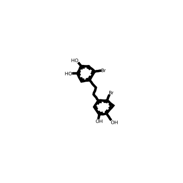 Oc1cc(Br)c(CCc2cc(O)c(O)cc2Br)cc1O